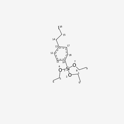 CCO[Si](OCC)(OCC)c1ccc(CCI)cc1